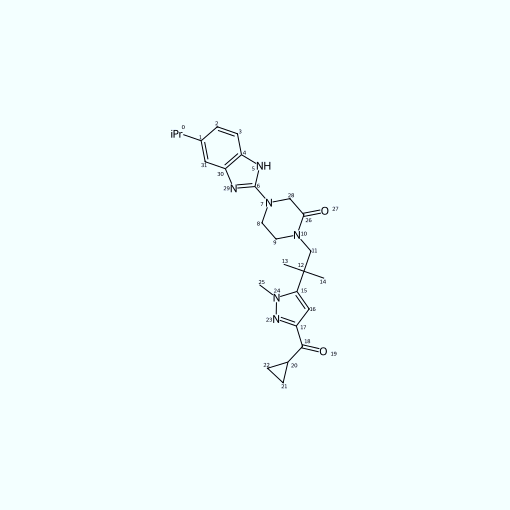 CC(C)c1ccc2[nH]c(N3CCN(CC(C)(C)c4cc(C(=O)C5CC5)nn4C)C(=O)C3)nc2c1